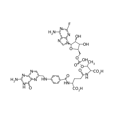 CC(OP(=O)(O)OC[C@H]1O[C@@H](n2cnc3c(N)nc(F)nc32)[C@@H](O)C1O)C(NC(=O)CCC(NC(=O)c1ccc(NCc2cnc3nc(N)[nH]c(=O)c3n2)cc1)C(=O)O)C(=O)O